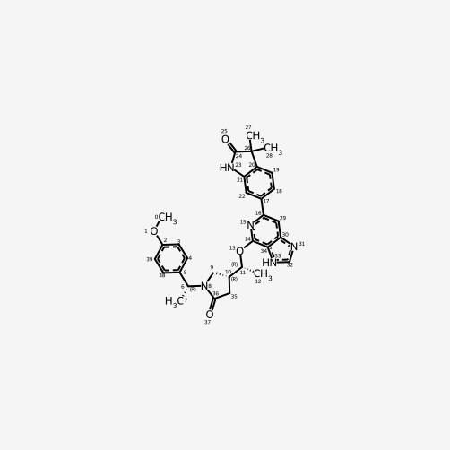 COc1ccc([C@@H](C)N2C[C@H]([C@@H](C)Oc3nc(-c4ccc5c(c4)NC(=O)C5(C)C)cc4nc[nH]c34)CC2=O)cc1